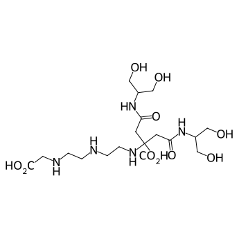 O=C(O)CNCCNCCNC(CC(=O)NC(CO)CO)(CC(=O)NC(CO)CO)C(=O)O